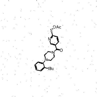 CC(=O)OSc1ccc(C(=O)N2CCN(c3ccccc3C(C)(C)C)CC2)cn1